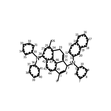 CC1=CC(N(c2ccccc2)c2ccc3ccccc3c2)C2=CCc3c(C)cc(N(c4ccccc4)c4ccccc4)c4ccc1c2c34